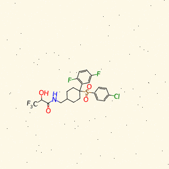 O=C(NCC1CCC(c2cc(F)ccc2F)(S(=O)(=O)c2ccc(Cl)cc2)CC1)C(O)C(F)(F)F